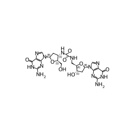 Nc1nc2c(ncn2[C@H]2C[C@H](NS(=O)(=O)NC[C@H]3O[C@@H](n4cnc5c(=O)[nH]c(N)nc54)C[C@@H]3O)[C@@H](CO)O2)c(=O)[nH]1